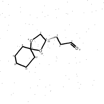 O=CCC[C@H]1COC2(CCCCC2)O1